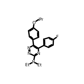 CCN(CC)c1nnc(-c2ccc(OC(C)C)cc2)c(-c2ccc(F)cc2)n1